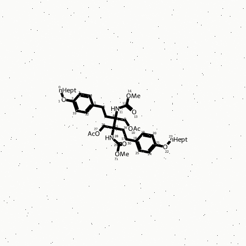 CCCCCCCOc1ccc(CCC(COC(C)=O)(NC(=O)OC)C(CCc2ccc(OCCCCCCC)cc2)(COC(C)=O)NC(=O)OC)cc1